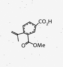 C=C(C)c1ccc(C(=O)O)cc1C(=O)OC